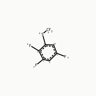 Fc1[c]c(F)c(F)c(SC(F)(F)F)c1